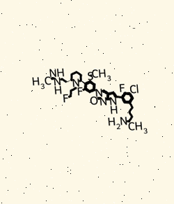 CSc1cc(-n2cc3cc(-c4cc(CCC[C@H](C)N)cc(Cl)c4F)[nH]c3nc2=O)cc(F)c1[C@@H]1CCC[C@@H](CCNC(C)=N)N1CCCF